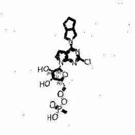 CP(=O)(O)OOC[C@H]1O[C@@H](n2ccc3c(N4CC5CCCC5C4)nc(Cl)nc32)[C@H](O)[C@@H]1O